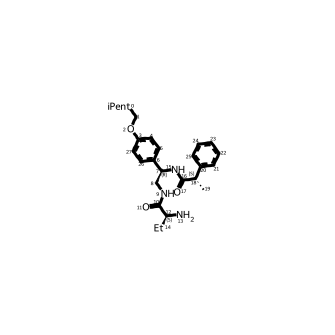 CCCC(C)COc1ccc([C@H](CNC(=O)[C@@H](N)CC)NC(=O)[C@@H](C)c2ccccc2)cc1